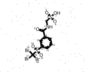 O=C(NCS(=O)(=O)O)c1cccc(S(=O)(=O)C(Br)(Br)Br)c1